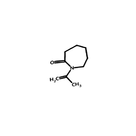 C=C(C)N1CCCCCC1=O